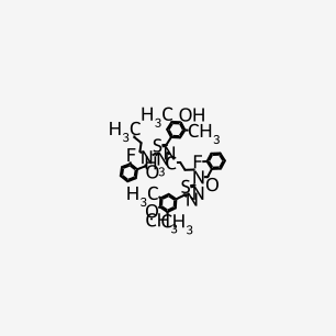 CCCCN(C(=O)c1ccccc1F)c1nnc(-c2cc(C)c(O)c(C)c2)s1.CCCCN(C(=O)c1ccccc1F)c1nnc(-c2cc(C)c(OC)c(C)c2)s1